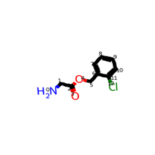 NCC(=O)OCc1ccccc1Cl